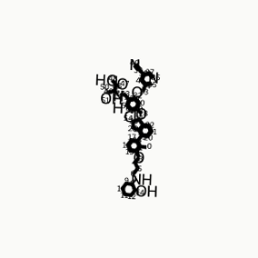 Cc1c(OCCCN[C@@H]2CCCC[C@@H]2O)cccc1-c1cccc2c1CC[C@@H]2Oc1cc(OCc2cncc(C#N)c2)c(CN[C@H](C(=O)O)[C@@H](C)O)cc1Cl